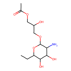 CCC1OC(OCC(O)COC(C)=O)C(N)C(O)C1O